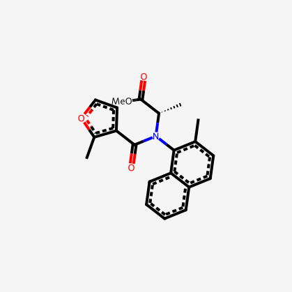 COC(=O)[C@H](C)N(C(=O)c1ccoc1C)c1c(C)ccc2ccccc12